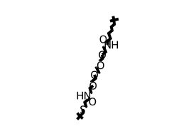 CC(C)(C)CCCCCC(=O)NCCOCCOCCOCCOCCNC(=O)CCSCC(C)(C)C